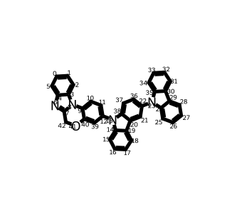 c1ccc2c(c1)nc1n2-c2ccc(-n3c4ccccc4c4cc(-n5c6ccccc6c6ccccc65)ccc43)cc2OC1